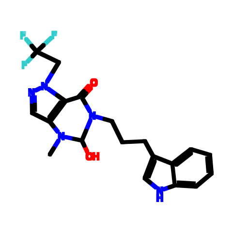 CN1c2cnn(CC(F)(F)F)c2C(=O)N(CCCc2c[nH]c3ccccc23)C1O